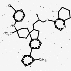 COc1ccccc1-c1ccc2c(c1)C1(CCC(Nc3cccc(Cl)c3)(C(=O)O)CC1)[C@@H](C[C@@H](C)COc1ccnc3c1[C@H](C)CCC3)C2